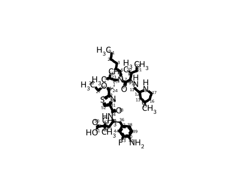 CCCCCCN(C(=O)[C@@H](NCC1C[C@H](C)CCN1)[C@@H](C)CC)[C@H](C[C@@H](OCC)c1nc(C(=O)N[C@@H](Cc2ccc(N)c(F)c2)CC(C)(C)C(=O)O)cs1)C(C)C